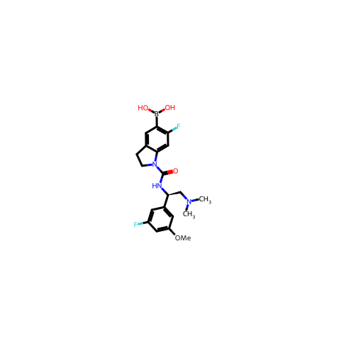 COc1cc(F)cc([C@H](CN(C)C)NC(=O)N2CCc3cc(B(O)O)c(F)cc32)c1